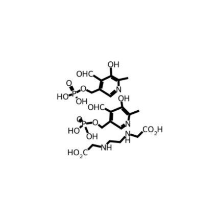 Cc1ncc(COP(=O)(O)O)c(C=O)c1O.Cc1ncc(COP(=O)(O)O)c(C=O)c1O.O=C(O)CNCCNCC(=O)O